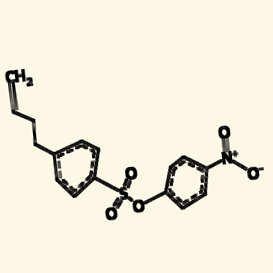 C=CCCc1ccc(S(=O)(=O)Oc2ccc([N+](=O)[O-])cc2)cc1